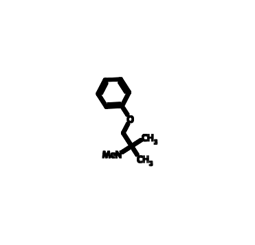 CNC(C)(C)COc1ccccc1